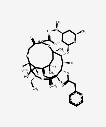 CC[C@H]1OC(=O)[C@H](C)[C@@H](OC(=O)Cc2ccccn2)[C@H](C)[C@@H](O[C@@H]2O[C@H](C)C[C@H](N(C)C)[C@H]2OC(C)=O)[C@@]2(C)C[C@@H](C)/C(=N\C(C)=O)[C@H](C)[C@@H](OCC(=O)CO2)[C@]1(C)O